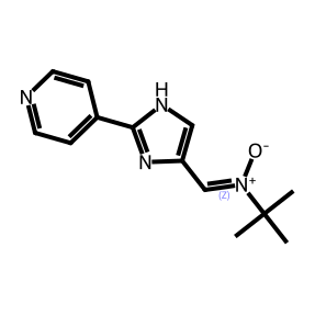 CC(C)(C)/[N+]([O-])=C/c1c[nH]c(-c2ccncc2)n1